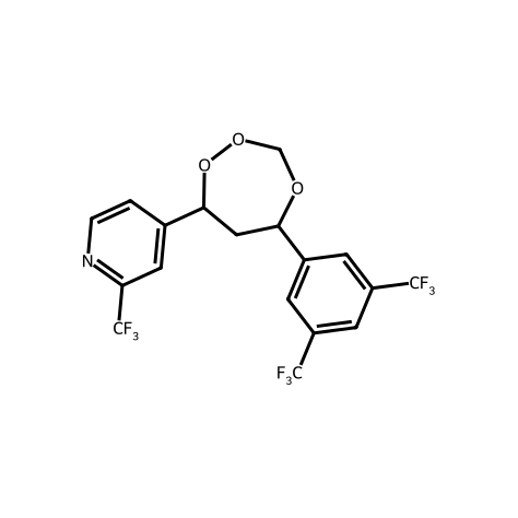 FC(F)(F)c1cc(C2CC(c3ccnc(C(F)(F)F)c3)OOCO2)cc(C(F)(F)F)c1